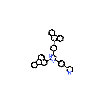 c1cncc(-c2ccc(-c3cc(-c4ccc(-c5cc6ccccc6c6ccccc56)cc4)nc(-c4ccc5c6c(cccc46)-c4ccccc4-5)n3)cc2)c1